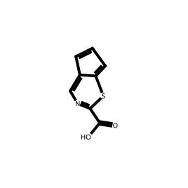 O=C(O)c1ncc2cccc-2s1